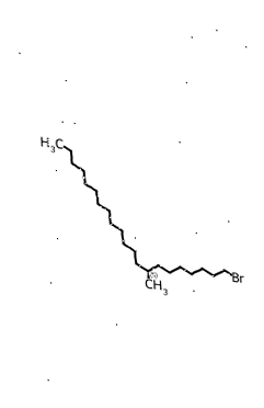 CCCCCCCCCCCCC[C@H](C)CCCCCCCBr